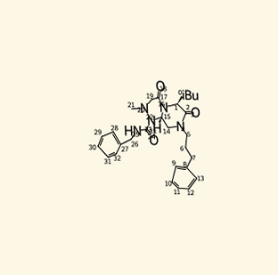 CCC(C)[C@H]1C(=O)N(CCCc2ccccc2)C[C@H]2N1C(=O)CN(C)N2C(=O)NCc1ccccc1